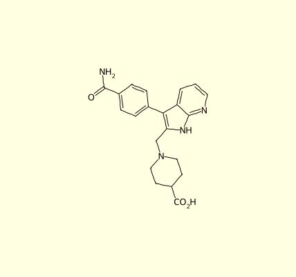 NC(=O)c1ccc(-c2c(CN3CCC(C(=O)O)CC3)[nH]c3ncccc23)cc1